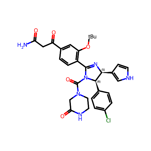 CC(C)(C)Oc1cc(C(=O)CC(N)=O)ccc1C1=N[C@@H](c2cc[nH]c2)[C@@H](c2ccc(Cl)cc2)N1C(=O)N1CCNC(=O)C1